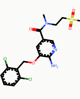 CN(CCS(C)(=O)=O)C(=O)c1cnc(N)c(OCc2c(Cl)cccc2Cl)c1